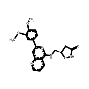 COc1ccc(-c2cc3ncccc3c(NC[C@H]3CC(=O)NO3)n2)cc1OC